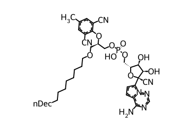 CCCCCCCCCCCCCCCCCCOC[C@H](COP(=O)(O)OC[C@H]1O[C@@](C#N)(c2ccc3c(N)ncnn23)[C@H](O)[C@@H]1O)Oc1c(C#N)cc(C)cc1C#N